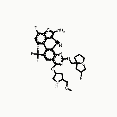 COCC1CC(Oc2nc(OCC34CCCN3CC(F)C4)nc3c(F)c(-c4ccc(F)c5sc(N)c(C#N)c45)c(C(F)(F)F)cc23)CN1